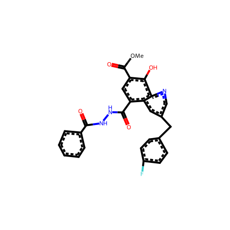 COC(=O)c1cc(C(=O)NNC(=O)c2ccccc2)c2cc(Cc3ccc(F)cc3)cnc2c1O